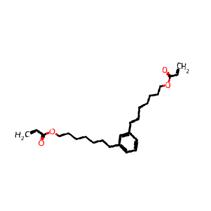 C=CC(=O)OCCCCCCCc1cccc(CCCCCCCOC(=O)C=C)c1